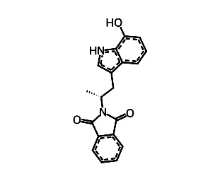 C[C@H](Cc1c[nH]c2c(O)cccc12)N1C(=O)c2ccccc2C1=O